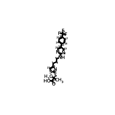 CC(C)(Sc1nc(CCCNc2ncc(-c3ccc(C(F)(F)F)cc3)cn2)cs1)C(=O)O